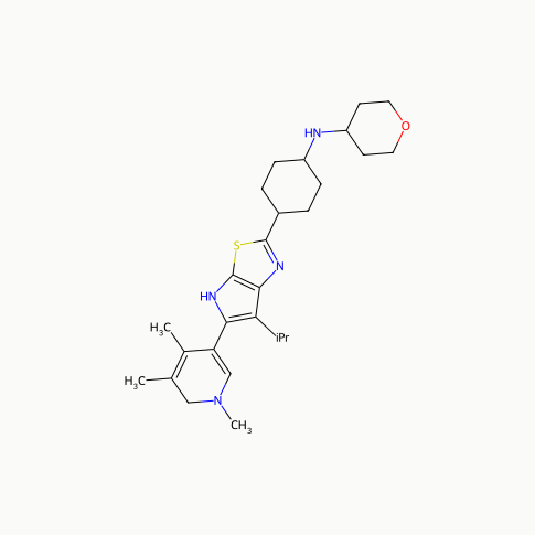 CC1=C(C)C(c2[nH]c3sc(C4CCC(NC5CCOCC5)CC4)nc3c2C(C)C)=CN(C)C1